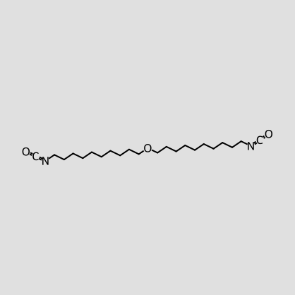 O=C=NCCCCCCCCCCOCCCCCCCCCCN=C=O